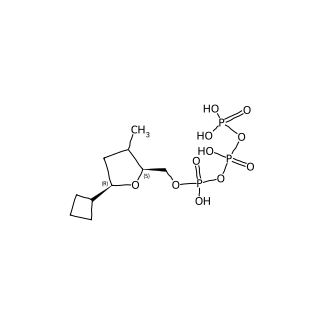 CC1C[C@H](C2CCC2)O[C@@H]1COP(=O)(O)OP(=O)(O)OP(=O)(O)O